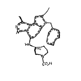 Cc1cc2c(cc(N[C@H]3CCN(C(=O)O)C3)c3nnc(C)n32)n1Cc1ccccc1